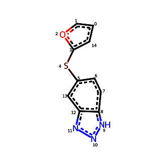 c1coc(Sc2ccc3[nH]nnc3c2)c1